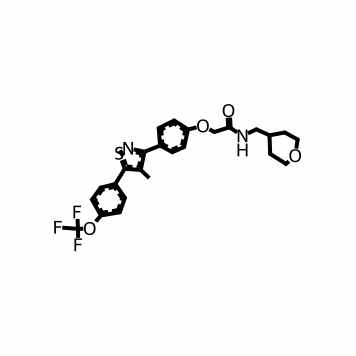 Cc1c(-c2ccc(OCC(=O)NCC3CCOCC3)cc2)nsc1-c1ccc(OC(F)(F)F)cc1